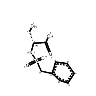 O=C(O)[C@@H](CO)NS(=O)(=O)Cc1ccccc1